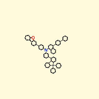 c1ccc(-c2ccc(-c3ccc(N(c4ccc(-c5ccc6c(c5)oc5ccccc56)cc4)c4cccc(-c5cccc6c5-c5ccccc5C6(c5ccccc5)c5ccccc5)c4)c4ccccc34)cc2)cc1